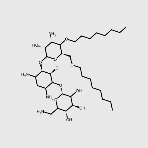 CCCCCCCCOC[C@H]1OC(O[C@@H]2C(N)CC(N)C(O[C@H]3OC(CN)[C@@H](O)[C@H](O)C3O)[C@@H]2O)[C@H](O)[C@H](N)C1OCCCCCCCC